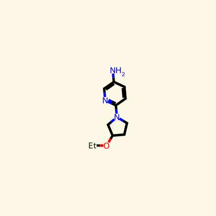 CCOC1CCN(c2ccc(N)cn2)C1